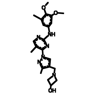 COc1cc(Nc2ncc(C)c(-n3cc(CN4CC(O)C4)c(C)n3)n2)cc(C)c1OC